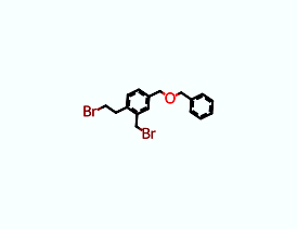 BrCCc1ccc(COCc2ccccc2)cc1CBr